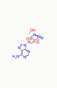 [N-]=[N+]=N[C@]1(CO)O[C@@H](n2cnc3c(N)ncnc32)C[C@@H]1O